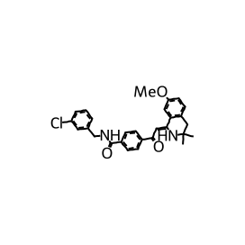 COc1ccc2c(c1)C(=CC(=O)c1ccc(C(=O)NCc3cccc(Cl)c3)cc1)NC(C)(C)C2